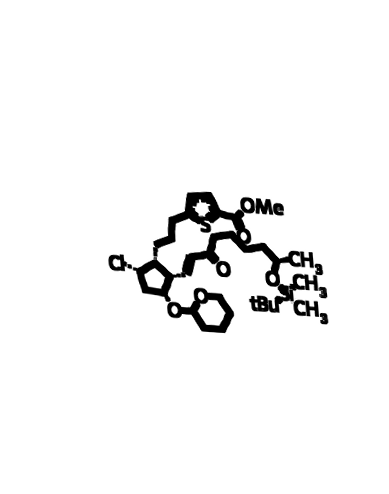 COC(=O)c1ccc(CCC[C@@H]2[C@H](C=CC(=O)CCCC[C@@H](C)O[Si](C)(C)C(C)(C)C)[C@H](OC3CCCCO3)C[C@@H]2Cl)s1